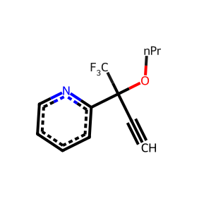 C#CC(OCCC)(c1ccccn1)C(F)(F)F